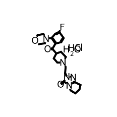 Cl.O.O=C(c1ccc(F)cc1N1CCOCC1)C1CCN(CCn2nc3n(c2=O)CCCC3)CC1